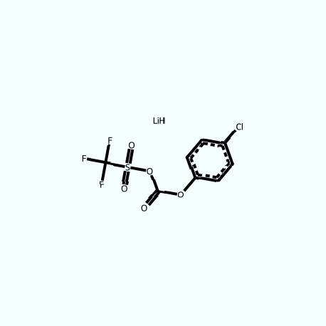 O=C(Oc1ccc(Cl)cc1)OS(=O)(=O)C(F)(F)F.[LiH]